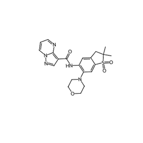 CC1(C)Cc2cc(NC(=O)c3cnn4cccnc34)c(N3CCOCC3)cc2S1(=O)=O